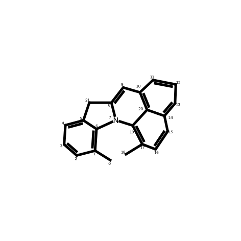 Cc1cccc2c1N1C(=Cc3cccc4ccc(C)c1c34)C2